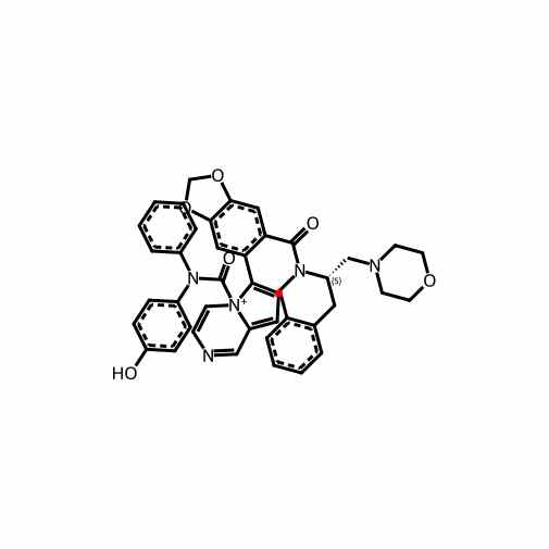 O=C(c1cc2c(cc1C1=CC=C3C=NC=C[N+]31C(=O)N(c1ccccc1)c1ccc(O)cc1)OCO2)N1Cc2ccccc2C[C@H]1CN1CCOCC1